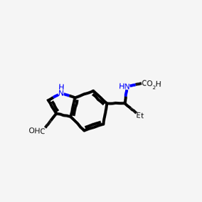 CCC(NC(=O)O)c1ccc2c(C=O)c[nH]c2c1